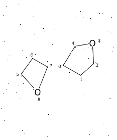 C1CCOC1.[CH]1CCO1